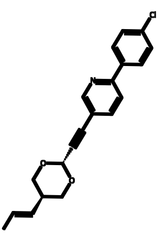 CC=C[C@H]1CO[C@H](C#Cc2ccc(-c3ccc(Cl)cc3)nc2)OC1